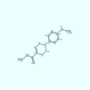 COC(=O)C1=CCC(c2ccc(OC)cc2)CC1